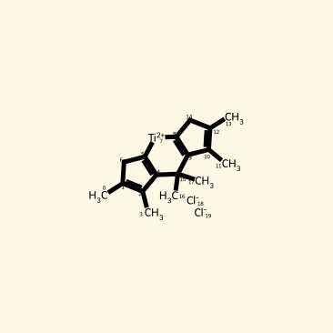 CC1=C(C)C2=[C](C1)[Ti+2][C]1=C(C(C)=C(C)C1)C2(C)C.[Cl-].[Cl-]